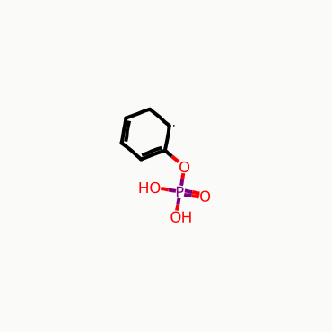 O=P(O)(O)OC1=CC=CC[CH]1